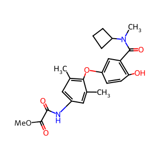 COC(=O)C(=O)Nc1cc(C)c(Oc2ccc(O)c(C(=O)N(C)C3CCC3)c2)c(C)c1